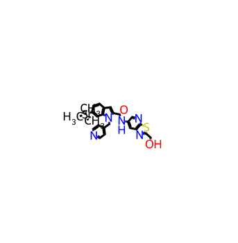 C[Si](C)(C)c1ccc2cc(C(=O)Nc3cnc4sc(CO)nc4c3)n(Cc3ccncc3)c2c1